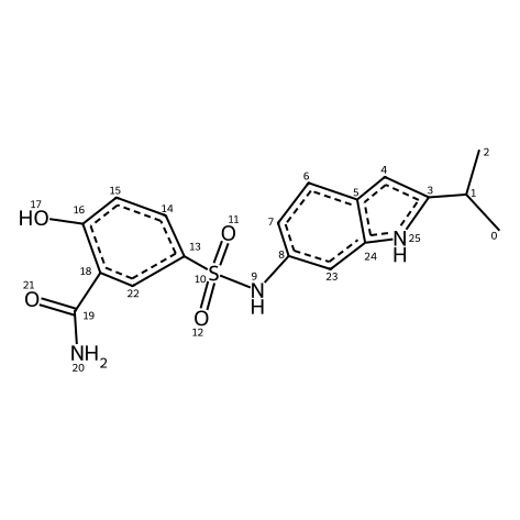 CC(C)c1cc2ccc(NS(=O)(=O)c3ccc(O)c(C(N)=O)c3)cc2[nH]1